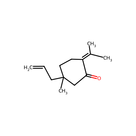 C=CCC1(C)CCC(=C(C)C)C(=O)C1